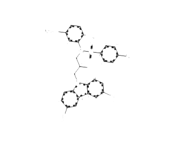 COc1cccc(N(CC(O)Cn2c3ccc(Br)cc3c3cc(Br)ccc32)S(=O)(=O)c2ccc([N+](=O)[O-])cc2)c1